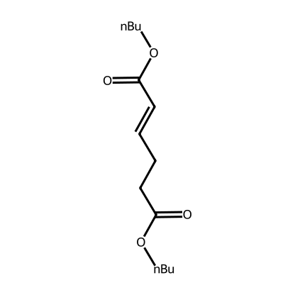 CCCCOC(=O)/C=C/CCC(=O)OCCCC